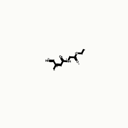 CCOC(=O)CNC(=O)/C=C(/C)C=N